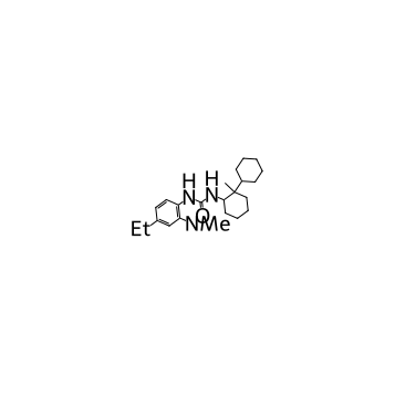 CCc1ccc(NC(=O)NC2CCCCC2(C)C2CCCCC2)c(NC)c1